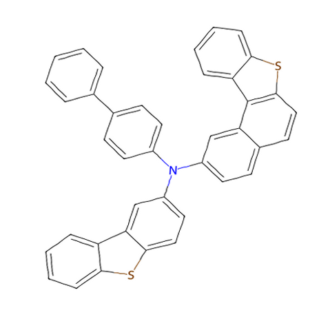 c1ccc(-c2ccc(N(c3ccc4sc5ccccc5c4c3)c3ccc4ccc5sc6ccccc6c5c4c3)cc2)cc1